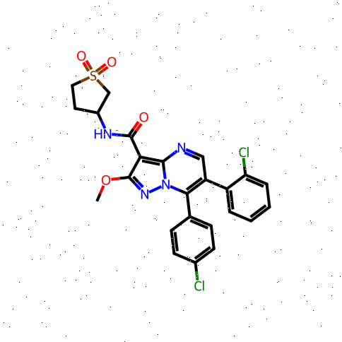 COc1nn2c(-c3ccc(Cl)cc3)c(-c3ccccc3Cl)cnc2c1C(=O)NC1CCS(=O)(=O)C1